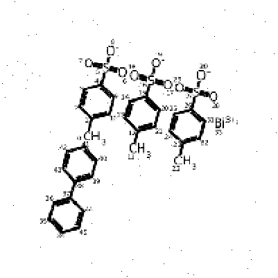 Cc1ccc(S(=O)(=O)[O-])cc1.Cc1ccc(S(=O)(=O)[O-])cc1.Cc1ccc(S(=O)(=O)[O-])cc1.[Bi+3].c1ccc(-c2ccccc2)cc1